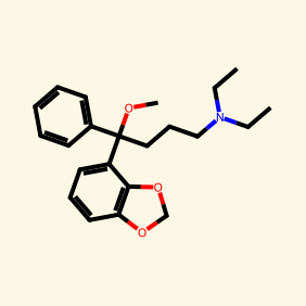 CCN(CC)CCCC(OC)(c1ccccc1)c1cccc2c1OCO2